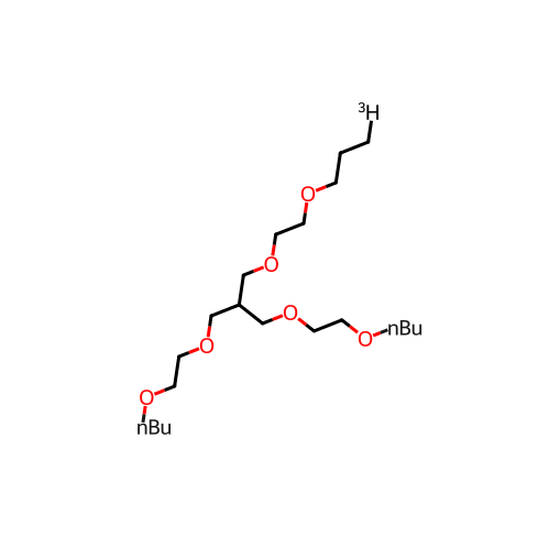 [3H]CCCOCCOCC(COCCOCCCC)COCCOCCCC